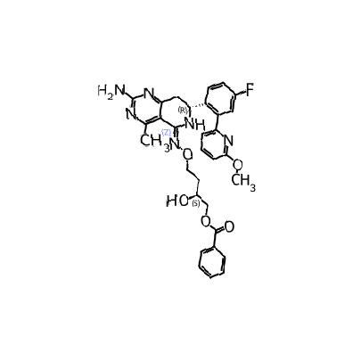 COc1cccc(-c2cc(F)ccc2[C@H]2Cc3nc(N)nc(C)c3/C(=N/OCC[C@H](O)COC(=O)c3ccccc3)N2)n1